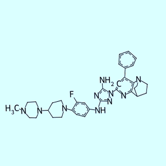 CN1CCN(C2CCN(c3ccc(Nc4nc(N)n(-c5cc(-c6ccccc6)c6c(n5)C5CCN6CC5)n4)cc3F)CC2)CC1